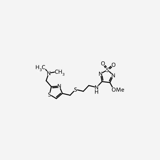 COC1=NS(=O)(=O)N=C1NCCSCc1csc(CN(C)C)n1